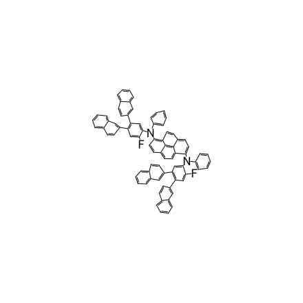 Fc1cc(-c2ccc3ccccc3c2)c(-c2ccc3ccccc3c2)cc1N(c1ccccc1)c1ccc2ccc3c(N(c4ccccc4)c4cc(-c5ccc6ccccc6c5)c(-c5ccc6ccccc6c5)cc4F)ccc4ccc1c2c43